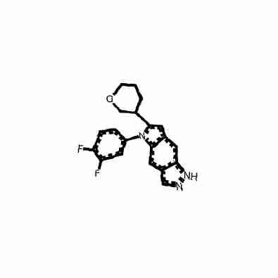 Fc1ccc(-n2c(C3CCCOC3)cc3cc4[nH]ncc4cc32)cc1F